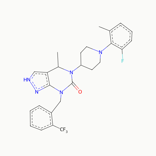 Cc1cccc(F)c1N1CCC(N2C(=O)N(Cc3ccccc3C(F)(F)F)c3n[nH]cc3C2C)CC1